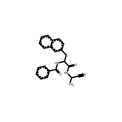 CC(C#N)NC(=O)C(Cc1ccc2ccccc2c1)NC(=O)c1ccccc1